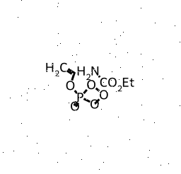 C=COP1(=O)OOO1.CCOC(N)=O